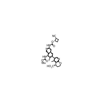 Cc1c(-c2cc3cc(NC(=O)O[C@H]4CC[C@@H]4C#N)ncc3c(NC(=O)OC(C)(C)C)c2F)cnc2c1N(C(=O)O)CCO2